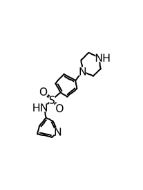 O=S(=O)(Nc1cccnc1)c1ccc(N2CCNCC2)cc1